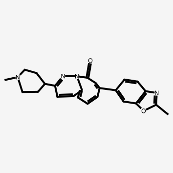 Cc1nc2ccc(C3=C\C(=O)N4N=C(C5CCN(C)CC5)C=C\C4=C/C=C/3)cc2o1